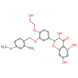 COc1ccc(COc2cc(C3Oc4cc(O)cc(O)c4C(=O)C3O)ccc2OCCO)c(C)c1